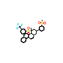 CC1(S(=O)(=O)c2cccc(C(F)(F)F)c2)CC(c2cccc(S(C)(=O)=O)c2)CC2C=Cc3c(ccc4ccccc34)C21